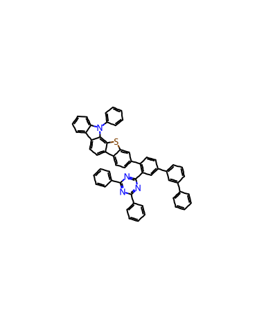 c1ccc(-c2cccc(-c3ccc(-c4ccc5c(c4)sc4c5ccc5c6ccccc6n(-c6ccccc6)c54)c(-c4nc(-c5ccccc5)nc(-c5ccccc5)n4)c3)c2)cc1